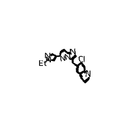 CCn1cc(-c2ccc3ncc(Cc4cc5cccnc5cc4Cl)n3n2)cn1